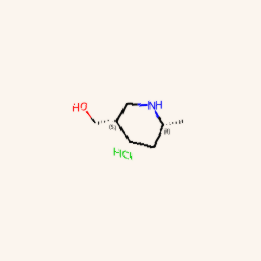 C[C@@H]1CC[C@H](CO)CN1.Cl